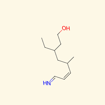 CCC(CCO)CC(C)/C=C\C=N